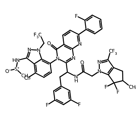 CC1Cc2c(C(F)(F)F)nn(CC(=O)NC(Cc3cc(F)cc(F)c3)c3nc4nc(-c5ccccc5F)ccc4c(=O)n3-c3ccc(Cl)c4c(N[S+](C)[O-])nn(CC(F)(F)F)c34)c2C1(F)F